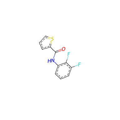 O=C(Nc1cccc(F)c1F)c1cccs1